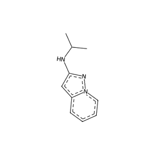 CC(C)Nc1cc2ccccn2n1